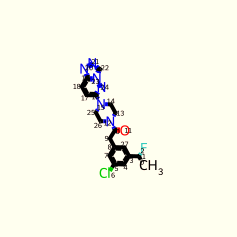 CC(F)c1cc(Cl)cc(CC(=O)N2CCN(c3ccc4nncn4n3)CC2)c1